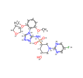 COc1cccc(OC)c1-n1c(NS(=O)(=O)[C@@H]2C[C@@H](O)CN(c3ncc(F)cn3)C2)nnc1[C@H]1CCCO1